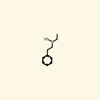 CCN(S)CCc1ccccc1